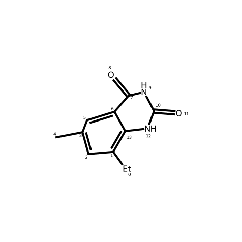 CCc1cc(C)cc2c(=O)[nH]c(=O)[nH]c12